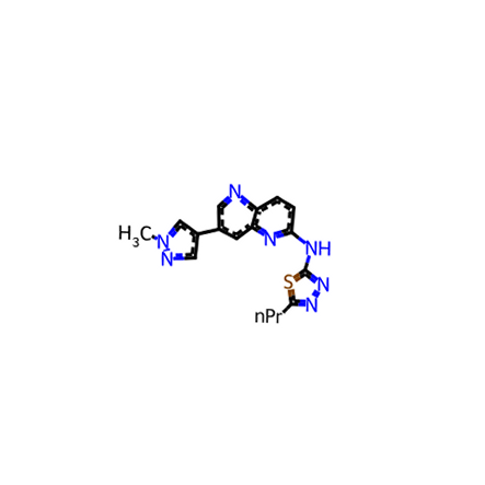 CCCc1nnc(Nc2ccc3ncc(-c4cnn(C)c4)cc3n2)s1